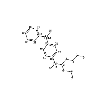 CCCCC(CCC)N(C)c1ccc(N(C)c2ccccc2)cc1